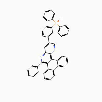 O=P(c1ccccc1)(c1ccccc1)c1cccc(-c2cnc3c(c2)nc(-c2ccccc2)c2c4ccccc4c4ccccc4c32)c1